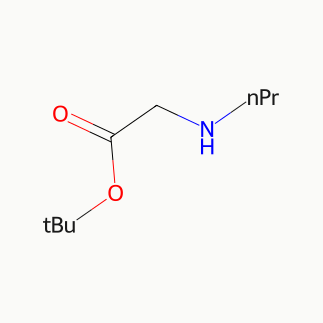 CCCNCC(=O)OC(C)(C)C